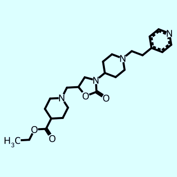 CCOC(=O)C1CCN(CC2CN(C3CCN(CCc4ccncc4)CC3)C(=O)O2)CC1